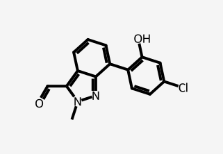 Cn1nc2c(-c3ccc(Cl)cc3O)cccc2c1C=O